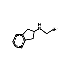 CC(C)CNC1Cc2ccccc2C1